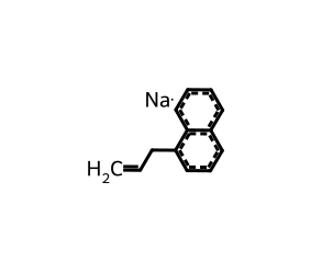 C=CCc1cccc2ccccc12.[Na]